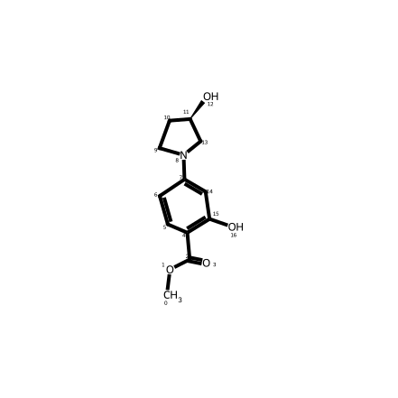 COC(=O)c1ccc(N2CC[C@@H](O)C2)cc1O